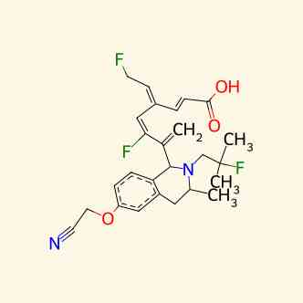 C=C(\C(F)=C/C(=C\CF)/C=C/C(=O)O)C1c2ccc(OCC#N)cc2CC(C)N1CC(C)(C)F